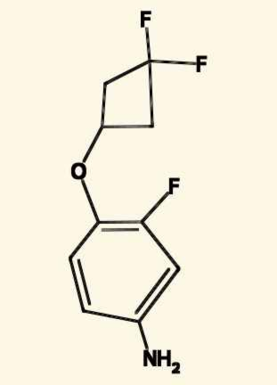 Nc1ccc(OC2CC(F)(F)C2)c(F)c1